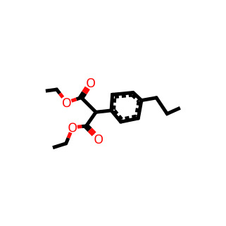 CCCc1ccc(C(C(=O)OCC)C(=O)OCC)cc1